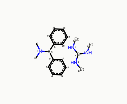 CCNB(NCC)NCC.CN(C)B(c1ccccc1)c1ccccc1